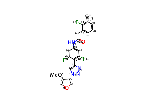 CO[C@@H]1COC[C@H]1n1cc(-c2c(F)cc(NC(=O)Cc3cccc(C(F)(F)F)c3F)cc2F)nn1